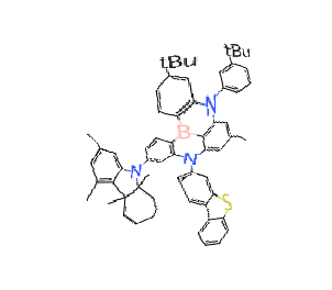 Cc1cc2c3c(c1)N(c1cccc(C(C)(C)C)c1)c1cc(C(C)(C)C)ccc1B3c1ccc(N3c4cc(C)cc(C)c4C4(C)CCCCC34C)cc1N2c1ccc2c(c1)sc1ccccc12